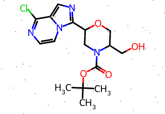 CC(C)(C)OC(=O)N1CC(c2ncc3c(Cl)nccn23)OCC1CO